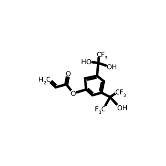 C=CC(=O)Oc1cc(C(O)(O)C(F)(F)F)cc(C(O)(C(F)(F)F)C(F)(F)F)c1